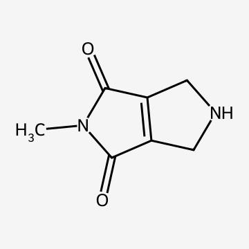 CN1C(=O)C2=C(CNC2)C1=O